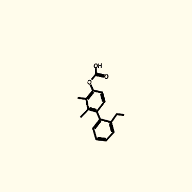 CCc1ccccc1-c1ccc(OC(=O)O)c(C)c1C